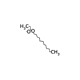 CCCCCCCCCCCCOC([O])CC